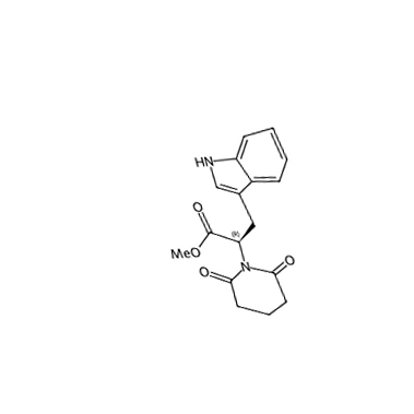 COC(=O)[C@@H](Cc1c[nH]c2ccccc12)N1C(=O)CCCC1=O